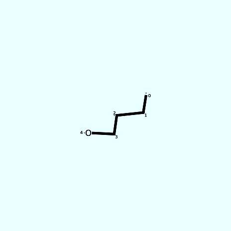 [CH2]C[CH]C[O]